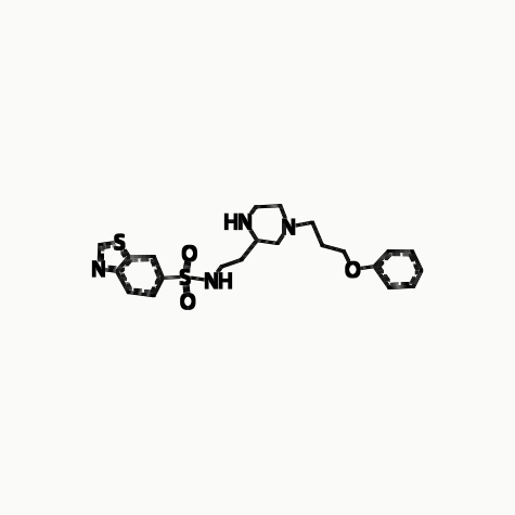 O=S(=O)(NCCC1CN(CCCOc2ccccc2)CCN1)c1ccc2ncsc2c1